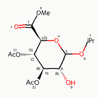 COC(=O)[C@H]1OC(OC(C)C)[C@H](O)[C@@H](OC(C)=O)[C@@H]1OC(C)=O